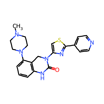 CN1CCN(c2cccc3c2CN(c2csc(-c4ccncc4)n2)C(=O)N3)CC1